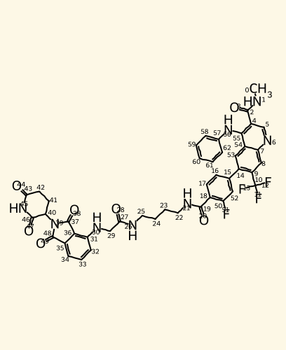 CNC(=O)c1cnc2cc(C(F)(F)F)c(-c3ccc(C(=O)NCCCCNC(=O)CNc4cccc5c4C(=O)N(C4CCC(=O)NC4=O)C5=O)c(F)c3)cc2c1Nc1ccccc1